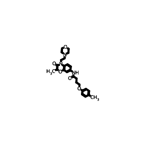 Cc1ccc(OCCCC(=O)Nc2ccc3c(c2)OC(C)C(=O)N3CCN2CCOCC2)cc1